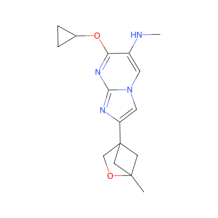 CNc1cn2cc(C34COC(C)(C3)C4)nc2nc1OC1CC1